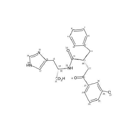 O=C(C[C@@H](Cc1ccccc1)C(=O)N[C@@H](Cc1c[nH]cn1)C(=O)O)c1cccc(Cl)c1